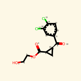 O=C(OCCO)C1C[C@@H]1C(=O)c1ccc(Cl)c(Cl)c1